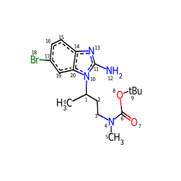 CC(CCN(C)C(=O)OC(C)(C)C)n1c(N)nc2ccc(Br)cc21